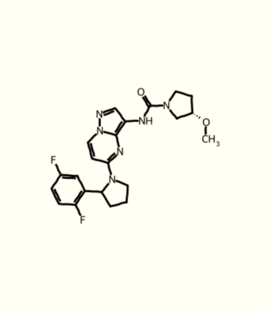 CO[C@H]1CCN(C(=O)Nc2cnn3ccc(N4CCCC4c4cc(F)ccc4F)nc23)C1